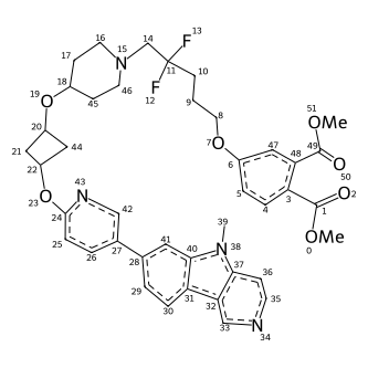 COC(=O)c1ccc(OCCCC(F)(F)CN2CCC(OC3CC(Oc4ccc(-c5ccc6c7cnccc7n(C)c6c5)cn4)C3)CC2)cc1C(=O)OC